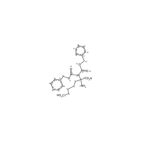 NC(CCCCC(=O)O)(C(=O)O)N(C(=O)OCc1ccccc1)C(=O)OCc1ccccc1